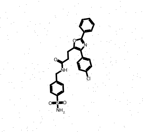 NS(=O)(=O)c1ccc(CNC(=O)CCc2oc(-c3ccccc3)nc2-c2ccc(Cl)cc2)cc1